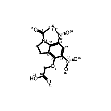 CC(=O)N1CCc2c(OCC(=O)O)c([N+](=O)[O-])cc([N+](=O)[O-])c21